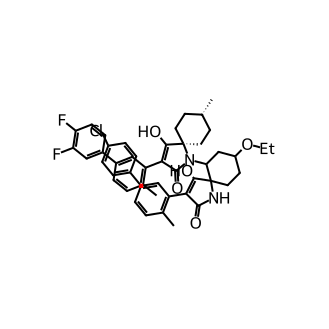 CCOC1CCC2(NC(=O)C(c3cc(-c4ccc(Cl)cc4)ccc3C)=C2O)C(N2C(=O)C(c3cc(-c4ccc(F)c(F)c4)ccc3C)=C(O)[C@]23CC[C@@H](C)CC3)C1